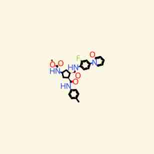 COC(=O)NC1C[C@H](C(=O)Nc2ccc(C)cc2)[C@@H](C(=O)Nc2ccc(-n3ccccc3=O)cc2F)C1